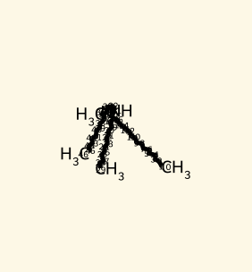 CCCCCCCCCCCCCCCCCC(CCCCCCCCCCCC)c1[nH]cc[n+]1C(C)CCCCCCCCCC